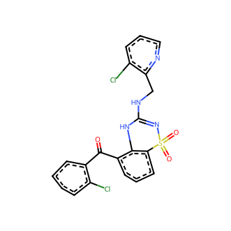 O=C(c1ccccc1Cl)c1cccc2c1NC(NCc1ncccc1Cl)=NS2(=O)=O